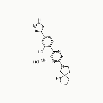 Cl.Cl.Oc1cc(-c2cn[nH]c2)ccc1-c1cnc(N2CCC3(CCCN3)C2)nn1